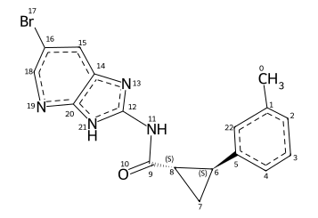 Cc1cccc([C@H]2C[C@@H]2C(=O)Nc2nc3cc(Br)cnc3[nH]2)c1